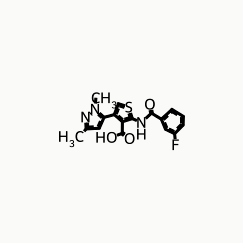 Cc1cc(-c2csc(NC(=O)c3cccc(F)c3)c2C(=O)O)n(C)n1